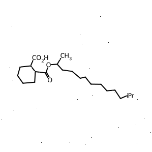 CC(C)CCCCCCCCCC(C)OC(=O)C1CCCCC1C(=O)O